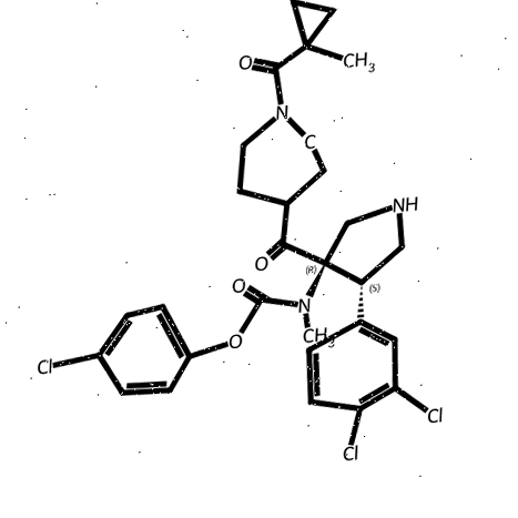 CN(C(=O)Oc1ccc(Cl)cc1)[C@@]1(C(=O)C2CCN(C(=O)C3(C)CC3)CC2)CNC[C@@H]1c1ccc(Cl)c(Cl)c1